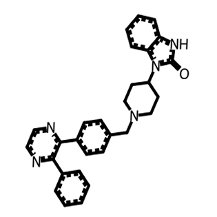 O=c1[nH]c2ccccc2n1C1CCN(Cc2ccc(-c3nccnc3-c3ccccc3)cc2)CC1